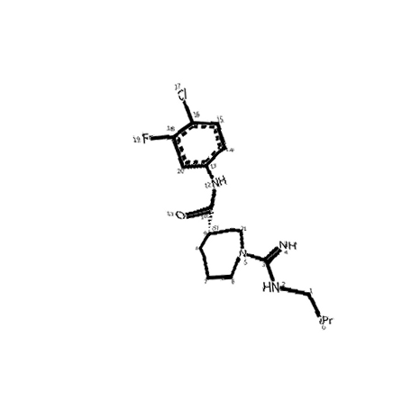 CC(C)CNC(=N)N1CCC[C@H](C(=O)Nc2ccc(Cl)c(F)c2)C1